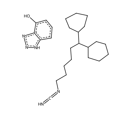 N=C=NCCCCCC(C1CCCCC1)C1CCCCC1.Oc1cccc2[nH]nnc12